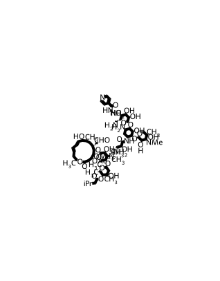 CN[C@@H]1[C@@H](O)[C@@H](O[C@@H]2[C@@H](O)[C@H](O[C@H]3O[C@H](CN)[C@@H](O)[C@H](O)[C@H]3O)[C@@H](N)C[C@H]2NC(=O)[C@@H](O)CN)OC[C@]1(C)O.CO[C@@H]1[C@@H](O[C@@H]2O[C@H](C)[C@@H](O[C@H]3C[C@@](C)(O)[C@@H](OC(=O)CC(C)C)[C@H](C)O3)[C@H](N(C)C)[C@H]2O)[C@@H](CC=O)C[C@@H](C)[C@@H](O)/C=C/C=C/C[C@@H](C)OC(=O)C[C@H]1OC(C)=O.NNC(=O)c1ccncc1